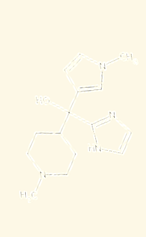 CN1CCC(C(O)(c2ccn(C)c2)c2ncc[nH]2)CC1